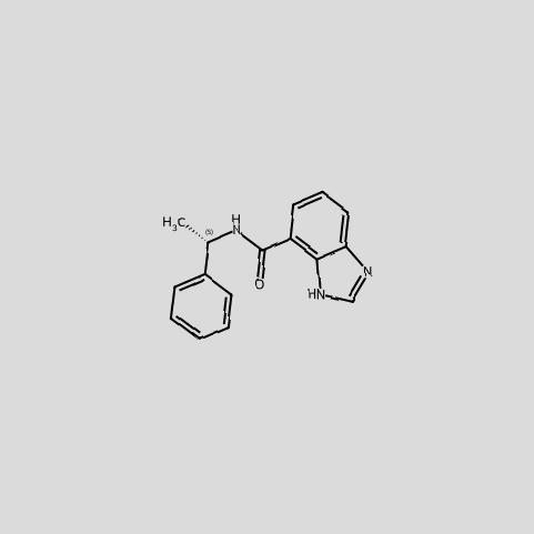 C[C@H](NC(=O)c1cccc2nc[nH]c12)c1ccccc1